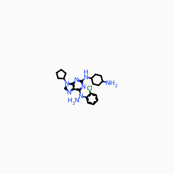 NC1CCC(Nc2nc(N(N)c3ccccc3Cl)c3ncn(C4CCCC4)c3n2)CC1